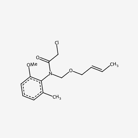 C/C=C/COCN(C(=O)CCl)c1c(C)cccc1OC